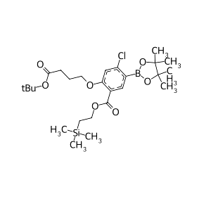 CC(C)(C)OC(=O)CCCOc1cc(Cl)c(B2OC(C)(C)C(C)(C)O2)cc1C(=O)OCC[Si](C)(C)C